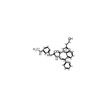 CNc1cccc(NC(=O)N[C@@H]2N=C(c3ccccn3)c3ccccc3N(CC(=O)CCO)C2=O)c1